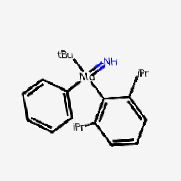 CC(C)c1cccc(C(C)C)[c]1[Mo](=[NH])([c]1ccccc1)[C](C)(C)C